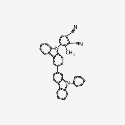 Cc1c(-n2c3ccccc3c3cc(-c4ccc5c6ccccc6n(-c6ccccc6)c5c4)ccc32)ccc(C#N)c1C#N